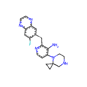 Nc1c(N2CCNCC23CC3)ccnc1Cc1cc2nccnc2cc1F